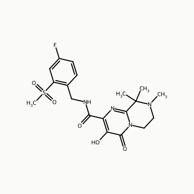 CN1CCn2c(nc(C(=O)NCc3ccc(F)cc3S(C)(=O)=O)c(O)c2=O)C1(C)C